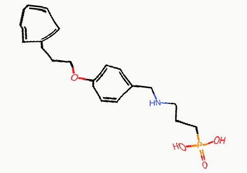 O=P(O)(O)CCCNCc1ccc(OCCc2ccccc2)cc1